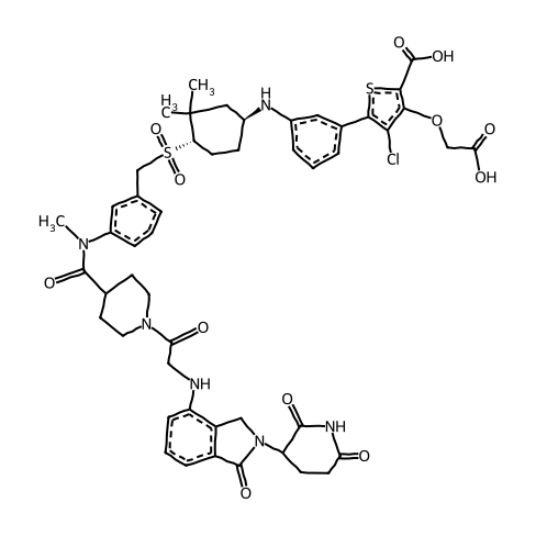 CN(C(=O)C1CCN(C(=O)CNc2cccc3c2CN(C2CCC(=O)NC2=O)C3=O)CC1)c1cccc(CS(=O)(=O)[C@H]2CC[C@H](Nc3cccc(-c4sc(C(=O)O)c(OCC(=O)O)c4Cl)c3)CC2(C)C)c1